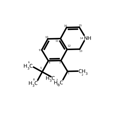 CC(C)c1c(C(C)(C)C)ccc2c1CNC=C2